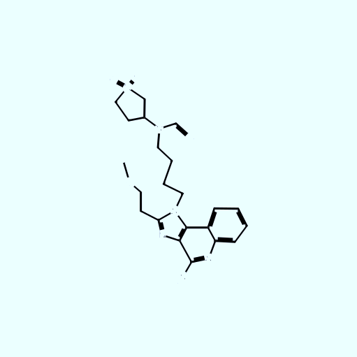 COCCc1nc2c(N)nc3ccccc3c2n1CCCCN(C=O)C1CCS(=O)(=O)C1